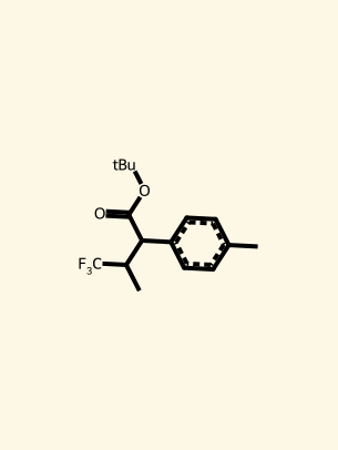 Cc1ccc(C(C(=O)OC(C)(C)C)C(C)C(F)(F)F)cc1